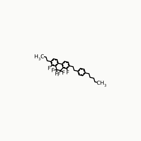 CCCCCc1ccc(CCc2ccc3c(c2F)C(F)(F)C(F)(F)c2c-3ccc(CCC)c2F)cc1